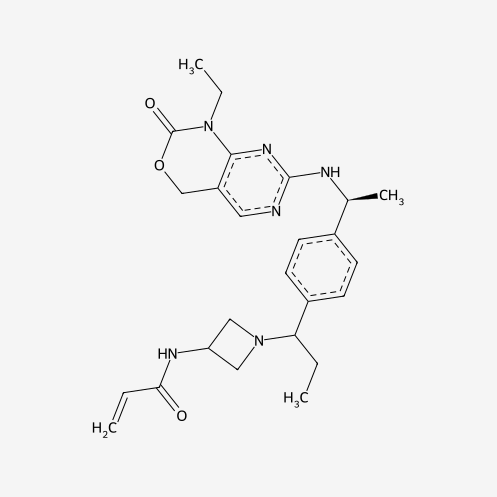 C=CC(=O)NC1CN(C(CC)c2ccc([C@H](C)Nc3ncc4c(n3)N(CC)C(=O)OC4)cc2)C1